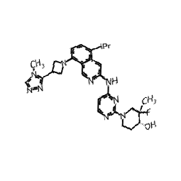 CC(C)c1ccc(N2CC(c3nncn3C)C2)c2cnc(Nc3ccnc(N4CC[C@@H](O)[C@@](C)(F)C4)n3)cc12